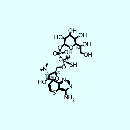 CN(C)[C@H]1[C@@H](O)[C@]2(C=CSc3c(N)ncnc32)O[C@@H]1COP(=O)(S)OP(=O)(O)OC1OC([C@@H](O)CO)C(O)C(O)C1O